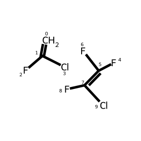 C=C(F)Cl.FC(F)=C(F)Cl